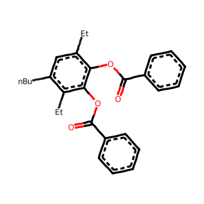 CCCCc1cc(CC)c(OC(=O)c2ccccc2)c(OC(=O)c2ccccc2)c1CC